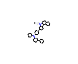 Cn1c2cc(-c3ccc(N(c4ccccc4)c4cccc(-c5ccccc5)c4)cc3)ccc2c2c3ccccc3ccc21